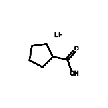 O=C(O)C1CCCC1.[LiH]